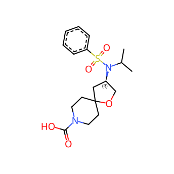 CC(C)N([C@H]1COC2(CCN(C(=O)O)CC2)C1)S(=O)(=O)c1ccccc1